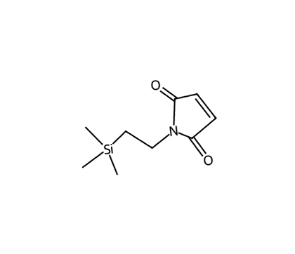 C[Si](C)(C)CCN1C(=O)C=CC1=O